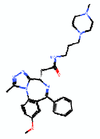 COc1ccc2c(c1)C(c1ccccc1)=N[C@@H](CC(=O)NCCCN1CCN(C)CC1)c1nnc(C)n1-2